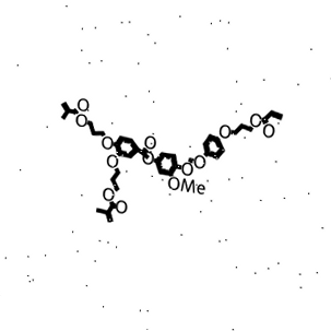 C=CC(=O)OCCCOc1ccc(OCOc2ccc(OC(=O)c3ccc(OCCCOC(=O)C(=C)C)c(OCCCOC(=O)C(=C)C)c3)cc2OC)cc1